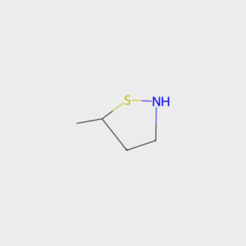 CC1CCNS1